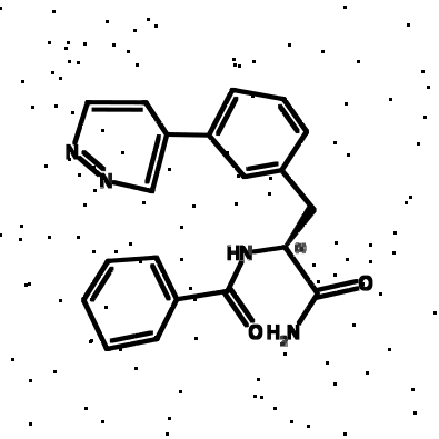 NC(=O)[C@H](Cc1cccc(-c2ccnnc2)c1)NC(=O)c1ccccc1